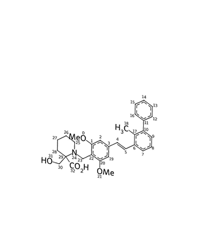 COc1cc(/C=C/c2cccc(-c3ccccc3)c2C)cc(OC)c1CN1CCCCC1(CO)C(=O)O